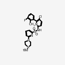 Cc1c(F)cccc1-c1nc(NS(=O)(=O)c2cccc(N3CCN(C(C)(C)C)CC3)n2)ccc1Cl